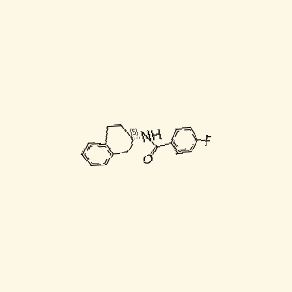 O=C(N[C@H]1CCc2ccccc2C1)c1ccc(F)cc1